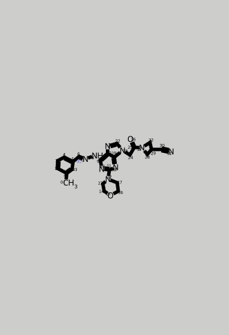 Cc1cccc(/C=N/Nc2nc(N3CCOCC3)nc3c2ncn3CC(=O)N2CC(C#N)C2)c1